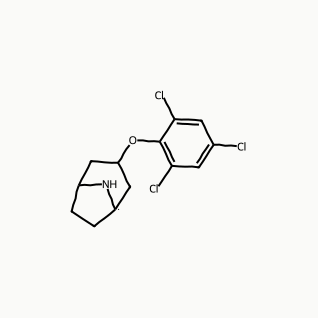 Clc1cc(Cl)c(OC2C[C]3CCC(C2)N3)c(Cl)c1